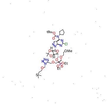 CCOP(=O)(OCC)[C@](COCCOC)(COCc1nnnn1COCC[Si](C)(C)C)OC[C@H]1O[C@@H](n2ncc3c(N(C(=O)OC(C)(C)C)C4CCCC4)nc(Cl)nc32)[C@@H]2OC(C)(C)O[C@@H]21